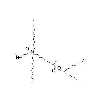 CCCCCCCCCCN(C(=O)CCCN(C)C)C(CCCCCCCCC)CCCCCCC(F)C(=O)OCC(CCCCCC)CCCCCCCC